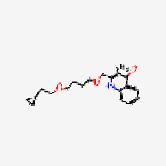 Cc1c(COCCCCOCCC2CC2)[nH]c2ccccc2c1=O